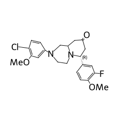 COc1ccc([C@H]2CC(=O)CC3CN(c4ccc(Cl)c(OC)c4)CCN32)cc1F